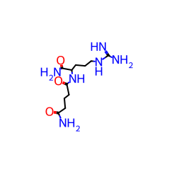 N=C(N)NCCCC(NC(=O)CCCC(N)=O)C(N)=O